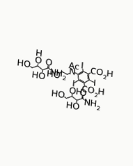 CC(=O)N(CCO)c1c(I)c(C(=O)O)c(I)c(C(=O)O)c1I.NC(=O)C(O)C(O)CO.NC(=O)C(O)C(O)CO